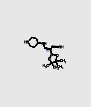 CC1(C)OB(/C(C=N)=C/NC2CCNCC2)OC1(C)C